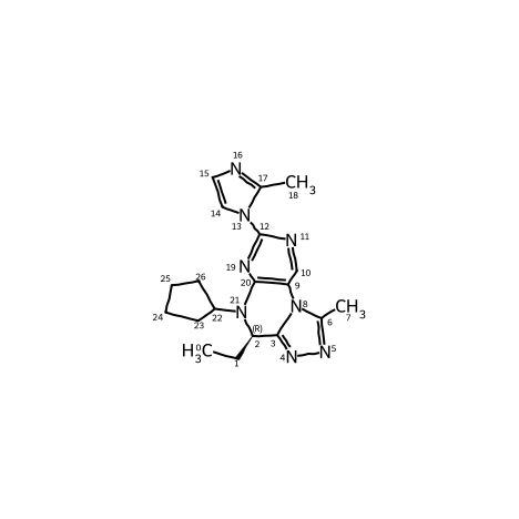 CC[C@@H]1c2nnc(C)n2-c2cnc(-n3ccnc3C)nc2N1C1CCCC1